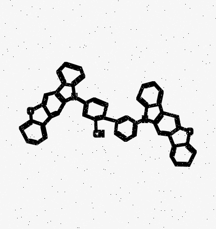 N#Cc1cc(-n2c3ccccc3c3cc4oc5ccccc5c4cc32)ccc1-c1cccc(-n2c3ccccc3c3cc4oc5ccccc5c4cc32)c1